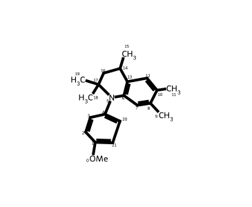 COc1ccc(N2c3cc(C)c(C)cc3C(C)CC2(C)C)cc1